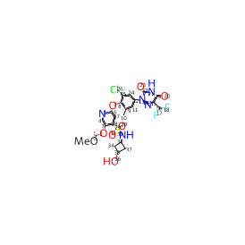 COCOc1cnc(Oc2c(C)cc(-n3nc(C(F)F)c(=O)[nH]c3=O)cc2Cl)cc1S(=O)(=O)NC1CC(O)C1